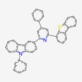 c1ccc(-c2cc(-c3ccc4c(c3)c3ccccc3n4-c3ccccc3)nc(-c3cccc4c3sc3ccccc34)c2)cc1